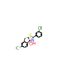 OC12N=C(c3cccc(Cl)c3)SC1Cc1cc(Cl)ccc12